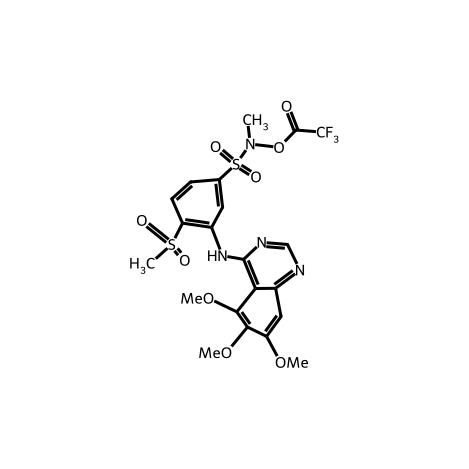 COc1cc2ncnc(Nc3cc(S(=O)(=O)N(C)OC(=O)C(F)(F)F)ccc3S(C)(=O)=O)c2c(OC)c1OC